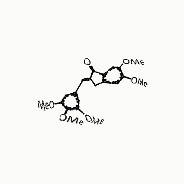 COc1cc2c(cc1OC)C(=O)C(=Cc1cc(OC)c(OC)c(OC)c1)C2